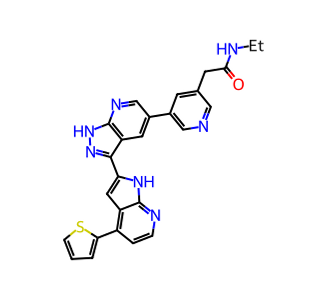 CCNC(=O)Cc1cncc(-c2cnc3[nH]nc(-c4cc5c(-c6cccs6)ccnc5[nH]4)c3c2)c1